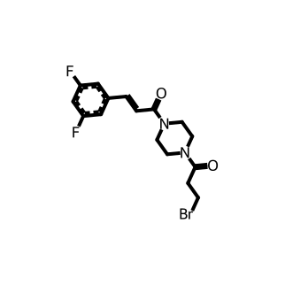 O=C(/C=C/c1cc(F)cc(F)c1)N1CCN(C(=O)CCBr)CC1